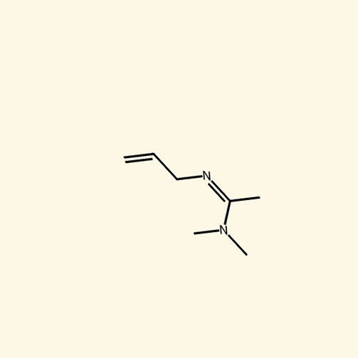 C=CCN=C(C)N(C)C